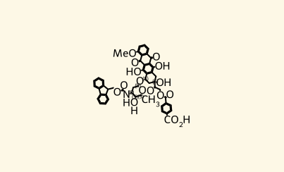 COc1cccc2c1C(=O)c1c(O)c3c(c(O)c1C2=O)C[C@@](O)(C(=O)COC(=O)c1ccc(C(=O)O)cc1)C[C@@H]3O[C@H]1C[C@H](NC(=O)OCC2c3ccccc3-c3ccccc32)[C@H](O)[C@H](C)O1